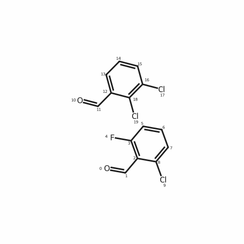 O=Cc1c(F)cccc1Cl.O=Cc1cccc(Cl)c1Cl